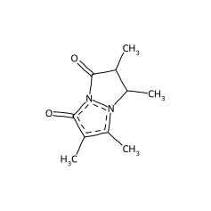 Cc1c(C)n2n(c1=O)C(=O)C(C)C2C